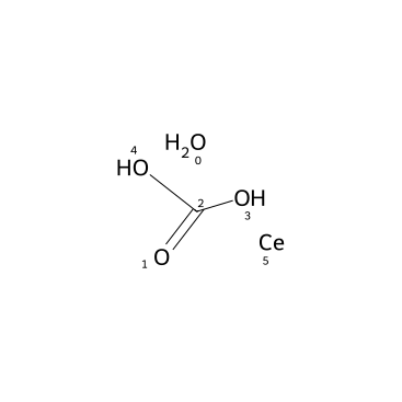 O.O=C(O)O.[Ce]